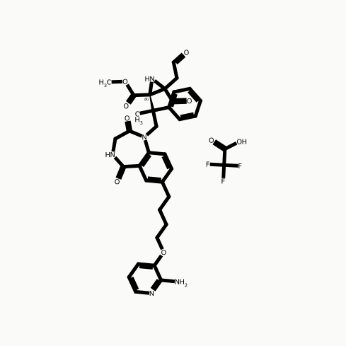 COC(=O)[C@]1(C(C)(CN2C(=O)CNC(=O)c3cc(CCCCOc4cccnc4N)ccc32)c2ccccc2)NC1(C=O)CC=O.O=C(O)C(F)(F)F